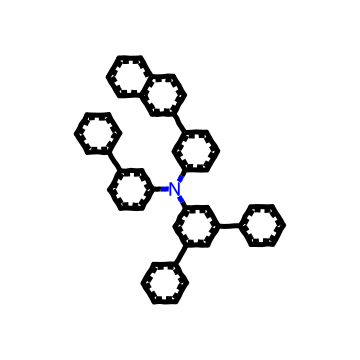 c1ccc(-c2cccc(N(c3cccc(-c4ccc5ccccc5c4)c3)c3cc(-c4ccccc4)cc(-c4ccccc4)c3)c2)cc1